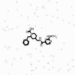 CNc1nccc(C(=O)NCC2CCN(C(=O)O)C(Cc3ccccc3)C2)n1